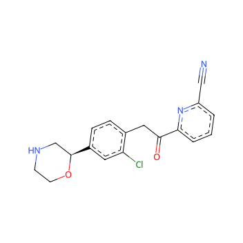 N#Cc1cccc(C(=O)Cc2ccc([C@@H]3CNCCO3)cc2Cl)n1